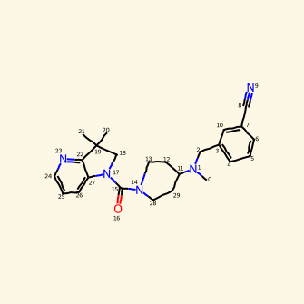 CN(Cc1cccc(C#N)c1)C1CCN(C(=O)N2CC(C)(C)c3ncccc32)CC1